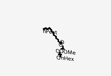 CCCCC/C=C\C/C=C\CCCCCCCC(=O)OCC(COC)COC(=O)C(C)(C)C(=O)CCCCCC